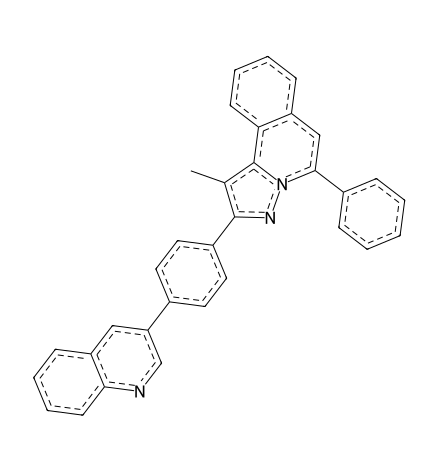 Cc1c(-c2ccc(-c3cnc4ccccc4c3)cc2)nn2c(-c3ccccc3)cc3ccccc3c12